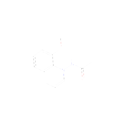 C/C=C\N(NC(C)=O)c1ccccc1OC